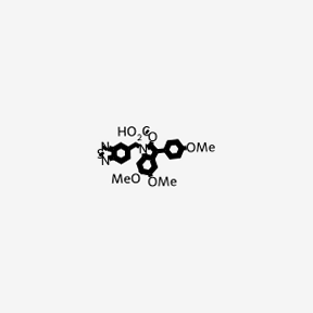 COc1ccc(-c2c(OC(=O)O)n(Cc3ccc4nsnc4c3)c3cc(OC)c(OC)cc23)cc1